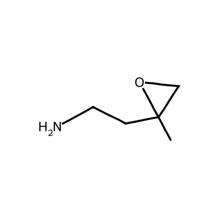 CC1(CCN)CO1